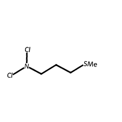 CSCCCN(Cl)Cl